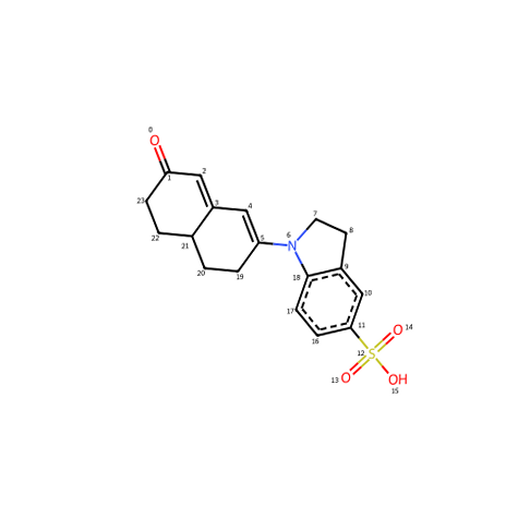 O=C1C=C2C=C(N3CCc4cc(S(=O)(=O)O)ccc43)CCC2CC1